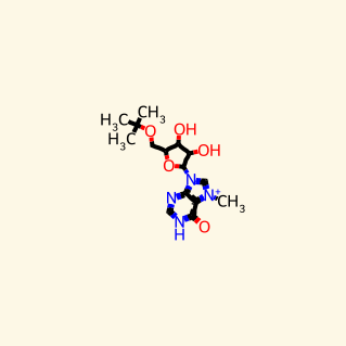 C[n+]1cn(C2OC(COC(C)(C)C)C(O)C2O)c2nc[nH]c(=O)c21